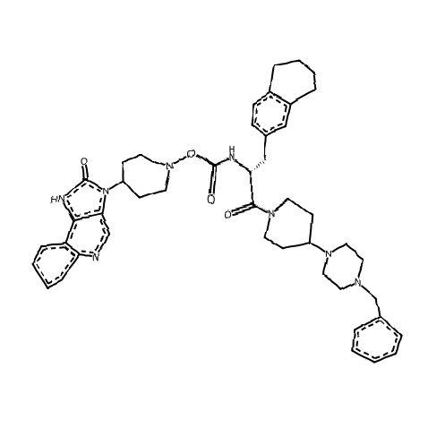 O=C(N[C@H](Cc1ccc2c(c1)CCCC2)C(=O)N1CCC(N2CCN(Cc3ccccc3)CC2)CC1)ON1CCC(n2c(=O)[nH]c3c4ccccc4ncc32)CC1